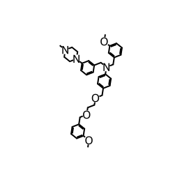 COc1cccc(COCCOCc2ccc(N(Cc3cccc(OC)c3)Cc3cccc(N4CCN(C)CC4)c3)cc2)c1